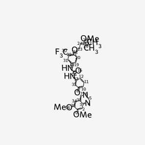 COc1cc2ncnc(Oc3cccc(NC(=O)Nc4ccc(OCCC(C)(C)OC)c(C(F)(F)F)c4)c3)c2cc1OC